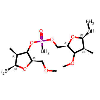 BB[C@@H]1O[C@H](COP(B)(=O)OC2[C@@H](COC)O[C@@H](B)[C@H]2C)C(OC)[C@@H]1C